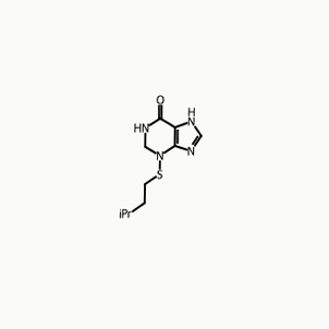 CC(C)CCSN1CNC(=O)c2[nH]cnc21